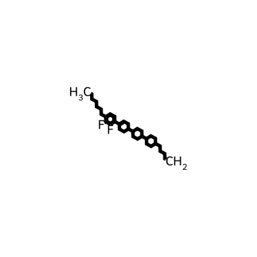 C=CCCCC1CCC(C2CCC(C3CC=C(c4ccc(CCCCCCC)c(F)c4F)CC3)CC2)CC1